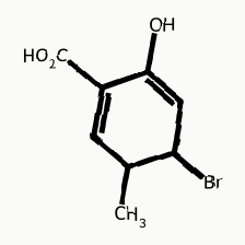 CC1C=C(C(=O)O)C(O)=CC1Br